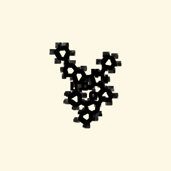 C=Cc1c(-c2ccc3ccc(-c4ccccc4)cc3c2)nc(-c2ccccc2)nc1-c1cccc2c1oc1c(-c3ccccc3)c3ccccc3cc12